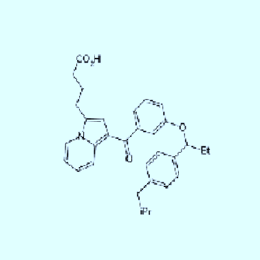 CCC(Oc1cccc(C(=O)c2cc(CCCC(=O)O)n3ccccc23)c1)c1ccc(CC(C)C)cc1